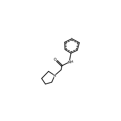 O=C(CN1CCCC1)Nc1cc[c]cc1